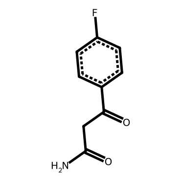 NC(=O)CC(=O)c1ccc(F)cc1